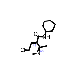 C/N=C(C)\C(=C/CCl)C(=O)NC1CCCCC1